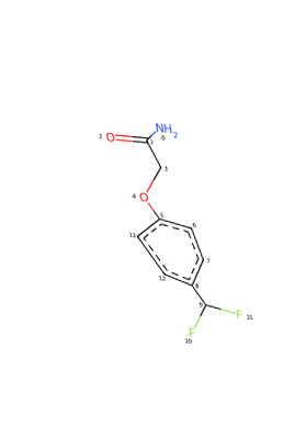 NC(=O)COc1ccc(C(F)F)cc1